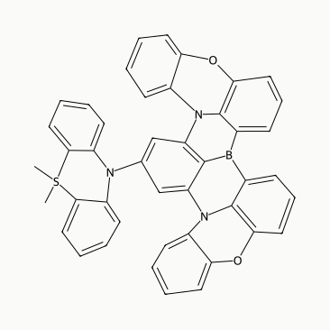 CS1(C)c2ccccc2N(c2cc3c4c(c2)N2c5ccccc5Oc5cccc(c52)B4c2cccc4c2N3c2ccccc2O4)c2ccccc21